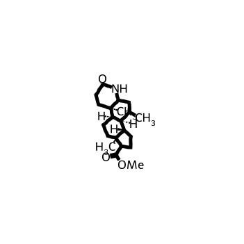 COC(=O)C1CC[C@H]2[C@@H]3C(C)CC4NC(=O)CC[C@]4(C)[C@@H]3CC[C@]12C